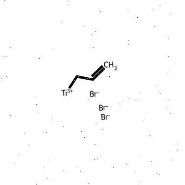 C=C[CH2][Ti+3].[Br-].[Br-].[Br-]